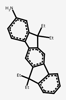 CCC1(CC)c2ccccc2-c2cc3c(cc21)-c1ccc(N)cc1C3(CC)CC